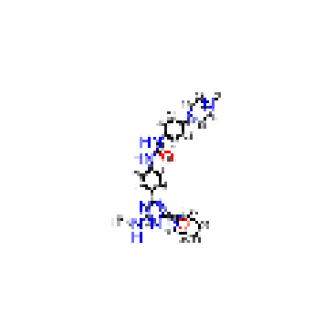 CC(C)Nc1nc(-c2ccc(NC(=O)Nc3ccc(N4CCN(C)CC4)cc3)cc2)nc(N2CC3CCC(C2)O3)n1